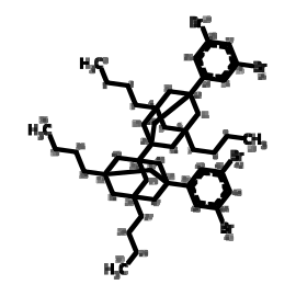 CCCCC12CC3(CCCC)CC(c4cc(Br)cc(Br)c4)(C1)CC(C14CC5(CCCC)CC(CCCC)(CC(c6cc(Br)cc(Br)c6)(C5)C1)C4)(C2)C3